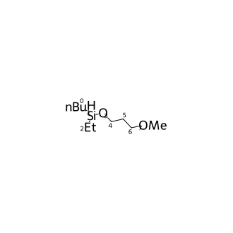 CCCC[SiH](CC)OCCCOC